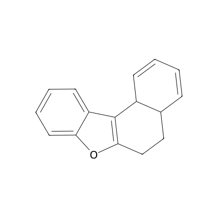 C1=CC2CCc3oc4ccccc4c3C2C=C1